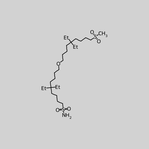 CCC(CC)(CCCCOCCCCC(CC)(CC)CCCCS(N)(=O)=O)CCCCS(C)(=O)=O